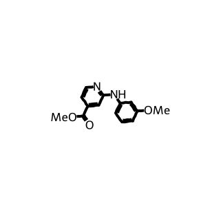 COC(=O)c1ccnc(Nc2cccc(OC)c2)c1